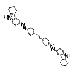 C(=Cc1ccc(N=Nc2ccc3[nH]c4c(c3c2)CCCC4)cc1)c1ccc(N=Nc2ccc3[nH]c4c(c3c2)CCCC4)cc1